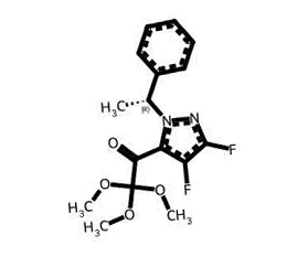 COC(OC)(OC)C(=O)c1c(F)c(F)nn1[C@H](C)c1ccccc1